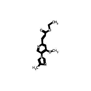 CCOC(=O)/C=C/c1cc(OC)c(-n2cnc(C)c2)cn1